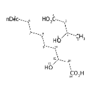 CC(O)CC(=O)O.CCCCCCCCCCCCCCCC(O)CC(=O)O